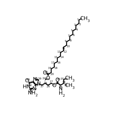 CCCCCCCCCCCCCCCCCCCCCC(=O)OC[C@H](CCOC(=O)[C@@H](N)[C@@H](C)CC)Cn1cnc2c(=O)[nH]c(N)nc21